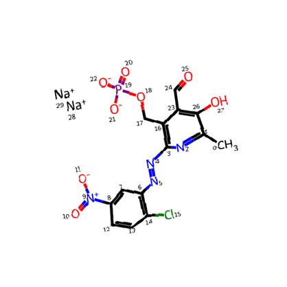 Cc1nc(N=Nc2cc([N+](=O)[O-])ccc2Cl)c(COP(=O)([O-])[O-])c(C=O)c1O.[Na+].[Na+]